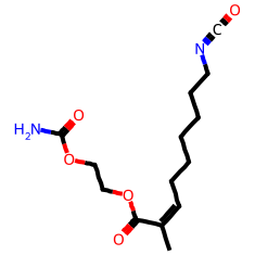 CC(=CCCCCCCN=C=O)C(=O)OCCOC(N)=O